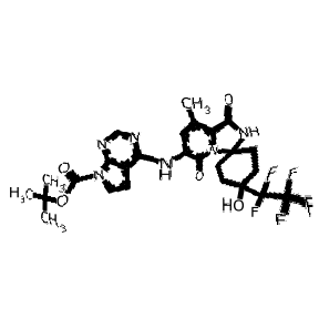 Cc1cc(Nc2ncnc3c2ccn3C(=O)OC(C)(C)C)c(=O)n2c1C(=O)NC21CCC(O)(C(F)(F)C(F)(F)F)CC1